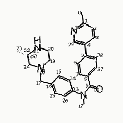 Cc1ccc(-c2ccc(C(=O)N(C)c3ccc(CN4CCN[C@@H](C)C4)cc3)cc2)cn1